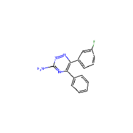 Nc1nnc(-c2cccc(F)c2)c(-c2ccccc2)n1